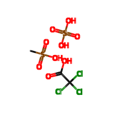 CS(=O)(=O)O.O=C(O)C(Cl)(Cl)Cl.O=S(=O)(O)O